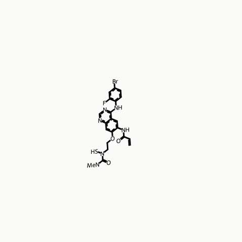 C=CC(=O)Nc1cc2c(Nc3ccc(Br)cc3F)ncnc2cc1OCCN(S)C(=O)NC